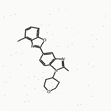 Cc1cccc2oc(-c3ccc4c(c3)nc(C)n4C3CCOCC3)nc12